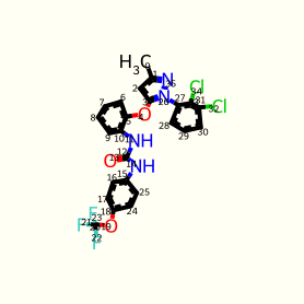 Cc1cc(Oc2ccccc2NC(=O)Nc2ccc(OC(F)(F)F)cc2)n(-c2cccc(Cl)c2Cl)n1